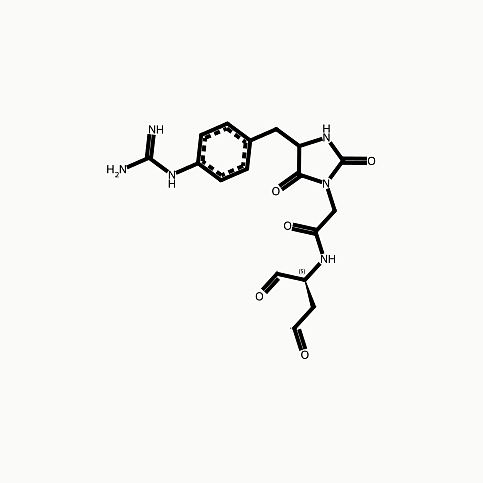 N=C(N)Nc1ccc(CC2NC(=O)N(CC(=O)N[C@H]([C]=O)C[C]=O)C2=O)cc1